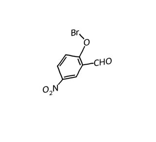 O=Cc1cc([N+](=O)[O-])ccc1OBr